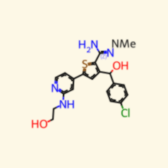 CN/N=C(\N)c1sc(-c2ccnc(NCCO)c2)cc1C(O)c1ccc(Cl)cc1